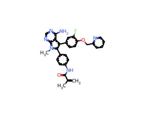 C=C(C)C(=O)Nc1ccc(-c2c(-c3ccc(OCc4ccccn4)c(F)c3)c3c(N)ncnc3n2C)cc1